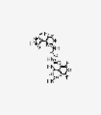 Cc1n[nH]c(C)c1-c1nc(NCCNC(=O)N[C@@H](CC=N)c2cc(F)cc(F)c2)ncc1F